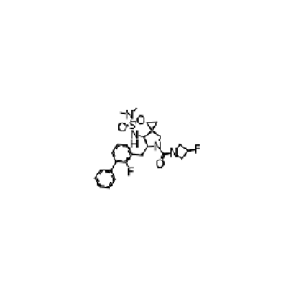 CN(C)S(=O)(=O)N[C@@H]1[C@H](Cc2cccc(-c3ccccc3)c2F)N(C(=O)N2CC(F)C2)CC12CC2